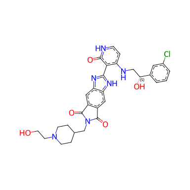 O=C1c2cc3nc(-c4c(NC[C@@H](O)c5cccc(Cl)c5)cc[nH]c4=O)[nH]c3cc2C(=O)N1CC1CCN(CCO)CC1